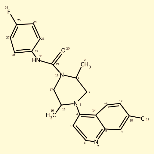 CC1CN(c2ccnc3cc(Cl)ccc23)C(C)CN1C(=O)Nc1ccc(F)cc1